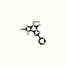 CCCCCn1c(=O)n2nc(-c3ccncn3)nc2c2[nH]c(Cl)nc21